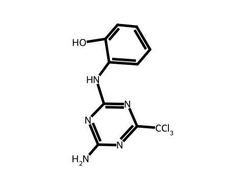 Nc1nc(Nc2ccccc2O)nc(C(Cl)(Cl)Cl)n1